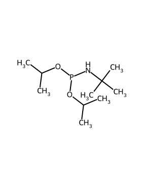 CC(C)OP(NC(C)(C)C)OC(C)C